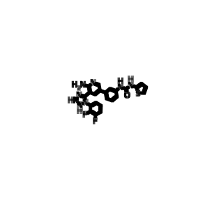 Nc1ncc(-c2cccc(NC(=O)Nc3cccs3)c2)cc1C1=NNNN1c1cccc(F)c1F